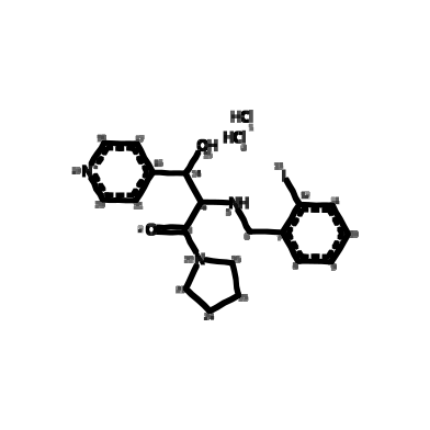 Cl.Cl.O=C(C(NCc1ccccc1I)C(O)c1ccncc1)N1CCCC1